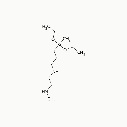 CCO[Si](C)(CCCNCCNC)OCC